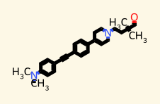 CN(C)c1ccc(C#Cc2ccc(C3=CCN(CCC(C)(C)C=O)CC3)cc2)cc1